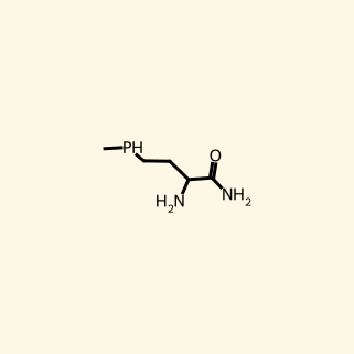 CPCCC(N)C(N)=O